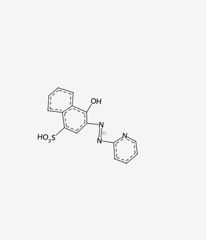 O=S(=O)(O)c1cc(/N=N/c2ccccn2)c(O)c2ccccc12